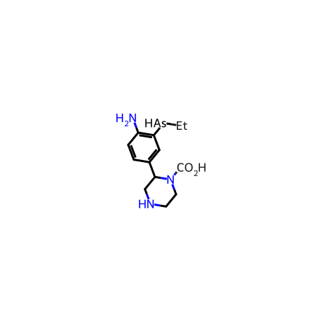 CC[AsH]c1cc(C2CNCCN2C(=O)O)ccc1N